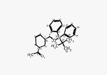 CC(=O)[C@H]1CCC[C@@H](CO[Si](c2ccccc2)(c2ccccc2)C(C)(C)C)C1